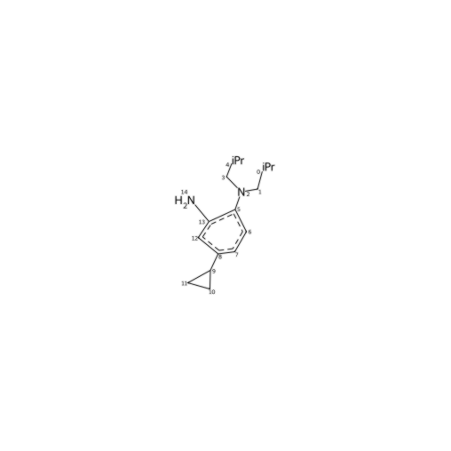 CC(C)CN(CC(C)C)c1ccc(C2CC2)cc1N